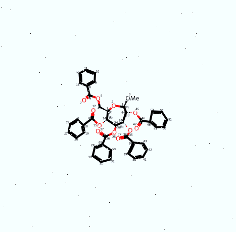 CO[C@@H]1O[C@H](COC(=O)c2ccccc2)[C@@H](OC(=O)c2ccccc2)[C@H](OC(=O)c2ccccc2)[C@@H](OC(=O)c2ccccc2)[C@H]1OC(=O)c1ccccc1